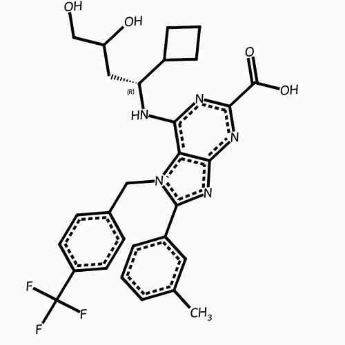 Cc1cccc(-c2nc3nc(C(=O)O)nc(N[C@H](CC(O)CO)C4CCC4)c3n2Cc2ccc(C(F)(F)F)cc2)c1